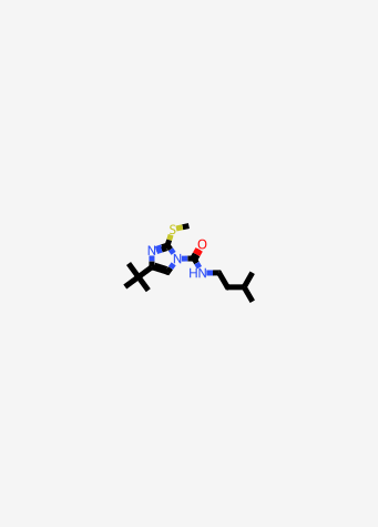 CSc1nc(C(C)(C)C)cn1C(=O)NCCC(C)C